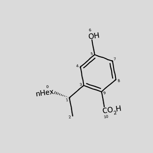 CCCCCC[C@@H](C)c1cc(O)ccc1C(=O)O